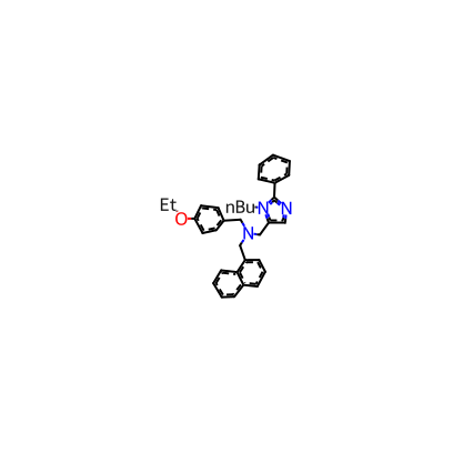 CCCCn1c(CN(Cc2ccc(OCC)cc2)Cc2cccc3ccccc23)cnc1-c1ccccc1